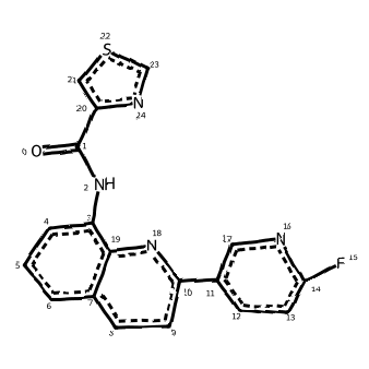 O=C(Nc1cccc2ccc(-c3ccc(F)nc3)nc12)c1cscn1